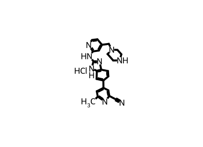 Cc1cc(-c2ccc3nc(Nc4cc(CN5CCNCC5)ccn4)[nH]c3c2)cc(C#N)n1.Cl